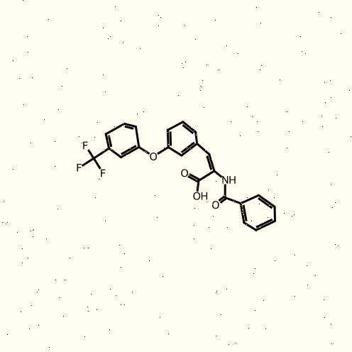 O=C(O)/C(=C\c1cccc(Oc2cccc(C(F)(F)F)c2)c1)NC(=O)c1ccccc1